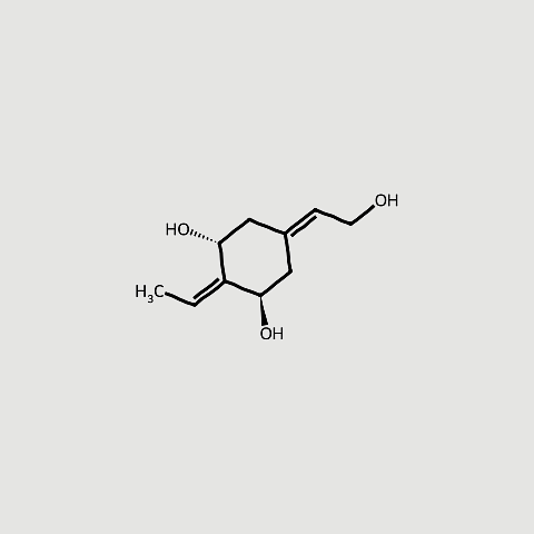 CC=C1[C@H](O)CC(=CCO)C[C@H]1O